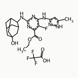 CCOC(=O)c1nc(NC2C3CC4CC2CC(O)(C4)C3)nc(Nc2cc(C)[nH]n2)c1F.O=C(O)C(F)(F)F